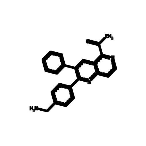 CC(=O)c1nccc2nc(-c3ccc(CN)cc3)c(-c3ccccc3)cc12